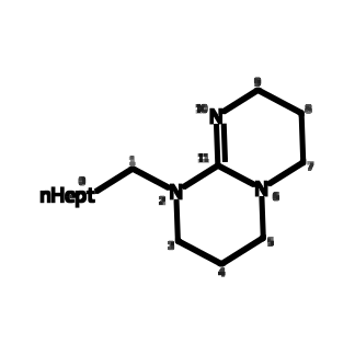 CCCCCCCCN1CCCN2CCCN=C12